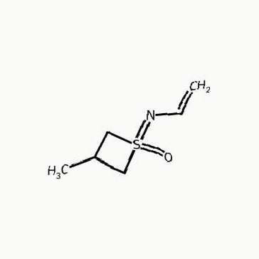 C=CN=S1(=O)CC(C)C1